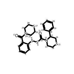 O=C(c1ccccc1SSC(=O)N1CCSCC1c1ccccc1)N1CCSCC1